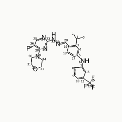 CC(C)c1cc(Nc2cccc(C(F)(F)F)c2)ccc1/C=N/Nc1ncc(F)c(N2CCOCC2)n1